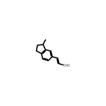 CC1CCc2ccc(C=CC=O)cc21